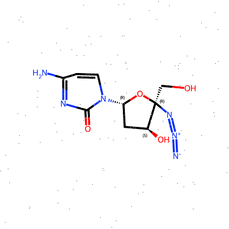 [N-]=[N+]=N[C@]1(CO)O[C@@H](n2ccc(N)nc2=O)C[C@@H]1O